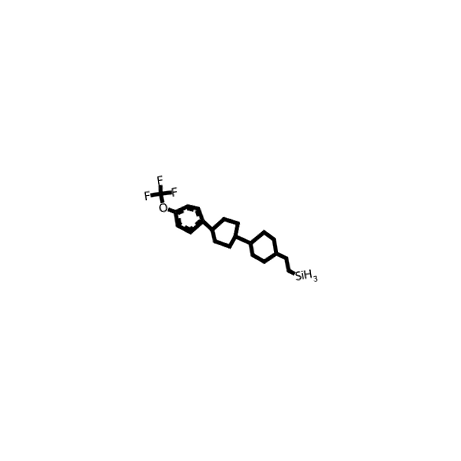 FC(F)(F)Oc1ccc(C2CCC(C3CCC(CC[SiH3])CC3)CC2)cc1